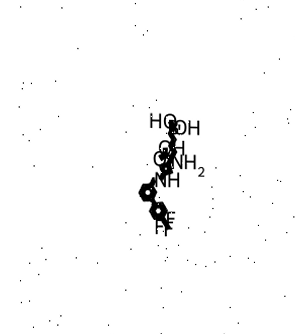 N[C@](CCCCB(O)O)(C(=O)O)C1CC(NCc2cccc(-c3ccc(C(F)(F)F)cc3)c2)C1